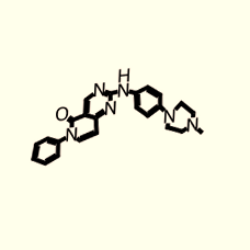 CN1CCN(c2ccc(Nc3ncc4c(=O)n(-c5ccccc5)ccc4n3)cc2)CC1